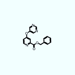 O=C(OCc1ccccc1)c1cc(Oc2cncnc2)ccn1